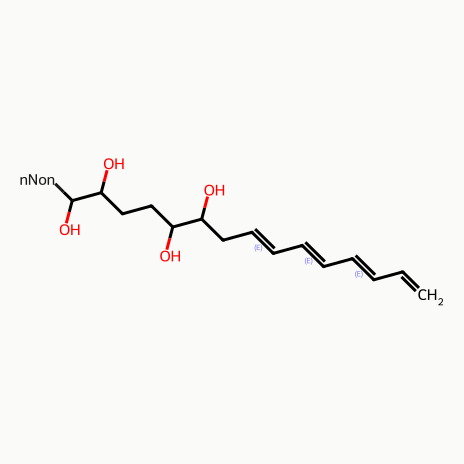 C=C/C=C/C=C/C=C/CC(O)C(O)CCC(O)C(O)CCCCCCCCC